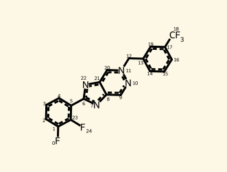 Fc1cccc(-c2nc3cnn(Cc4cccc(C(F)(F)F)c4)cc-3n2)c1F